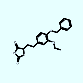 CCOc1cc(CCC2OC(=O)NC2=O)ccc1OCc1ccccc1